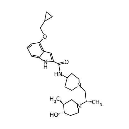 C[C@H]1CN([C@@H](C)CN2CCC(NC(=O)c3cc4c(OCC5CC5)cccc4[nH]3)CC2)CC[C@@H]1O